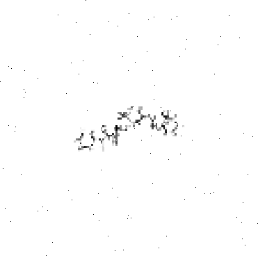 O=C(NN=CC1=CC(N=Nc2ccccc2Cl)=CCC1=O)Nc1ccccc1